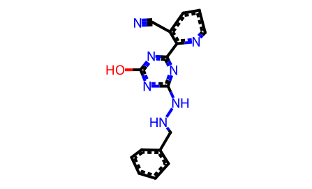 N#Cc1cccnc1-c1nc(O)nc(NNCc2ccccc2)n1